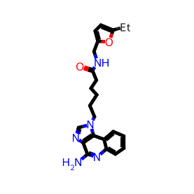 CCc1ccc(CNC(=O)CCCCCn2cnc3c(N)nc4ccccc4c32)o1